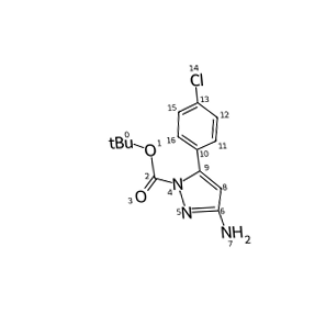 CC(C)(C)OC(=O)n1nc(N)cc1-c1ccc(Cl)cc1